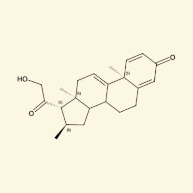 C[C@@H]1CC2C3CCC4=CC(=O)C=C[C@]4(C)C3=CC[C@]2(C)[C@H]1C(=O)CO